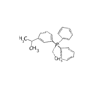 CC[P](c1ccccc1)(c1ccccc1)c1cccc(C(C)C)c1